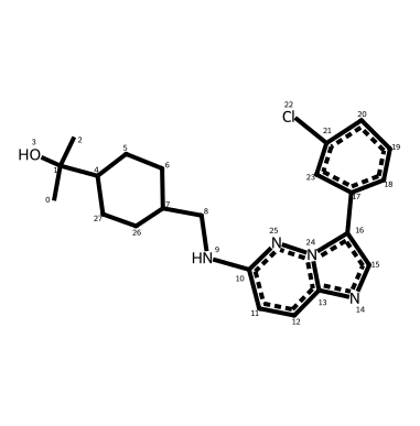 CC(C)(O)C1CCC(CNc2ccc3ncc(-c4cccc(Cl)c4)n3n2)CC1